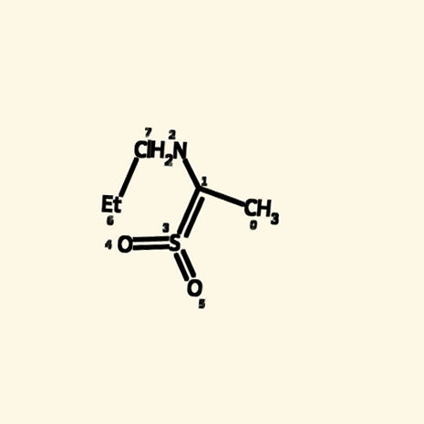 CC(N)=S(=O)=O.CCCl